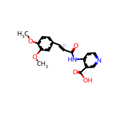 COc1ccc(/C=C/C(=O)Nc2ccncc2C(=O)O)cc1OC